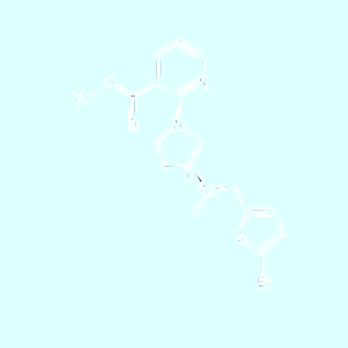 CCc1ccc(C[As](C)[C@H]2CCN(c3ncccc3C(=O)OC(C)C)C2)s1